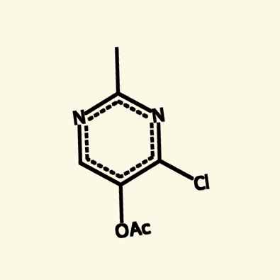 CC(=O)Oc1cnc(C)nc1Cl